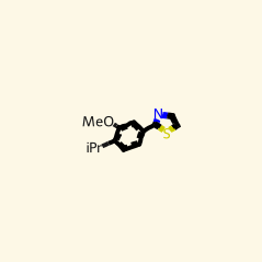 COc1cc(-c2nccs2)ccc1C(C)C